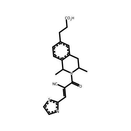 CC1Cc2cc(CCC(=O)O)ccc2C(C)N1C(=O)/C(C#N)=C/c1nccs1